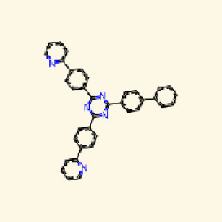 c1ccc(-c2ccc(-c3nc(-c4ccc(-c5ccccn5)cc4)nc(-c4ccc(-c5ccccn5)cc4)n3)cc2)cc1